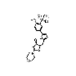 CCC(C)(C)c1cc(-c2ccc(CC3SC(N4CCOCC4)=NC3=O)o2)ccc1O